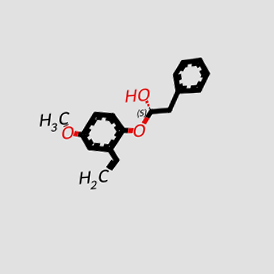 C=Cc1cc(OC)ccc1O[C@H](O)Cc1ccccc1